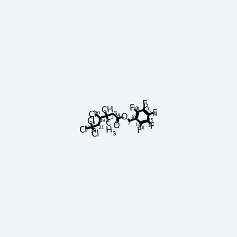 CC(C)(CC(=O)OCc1c(F)c(F)c(F)c(F)c1F)C(Cl)CC(Cl)(Cl)Cl